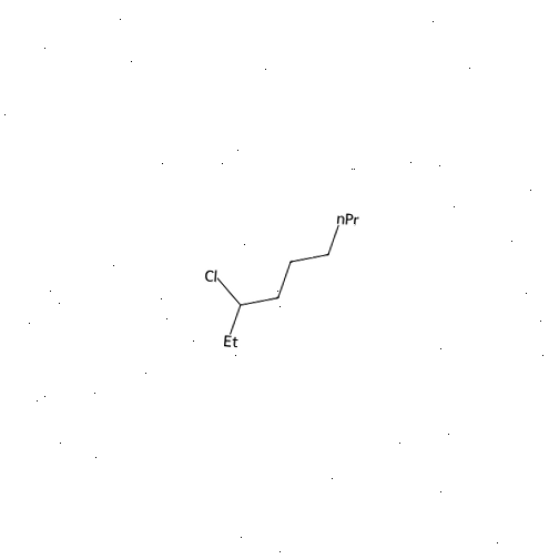 C[CH]CCCCC(Cl)CC